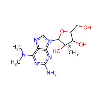 CN(C)c1nc(N)nc2c1ncn2C1OC(CO)C(O)[C@@]1(C)O